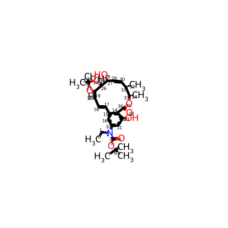 CCN(C(=O)OC(C)(C)C)c1cc(O)c2c(c1)/C=C/C[C@@H]1OC(C)(C)O[C@@H]1C(O)/C=C\[C@@H](C)[C@H](C)OC2=O